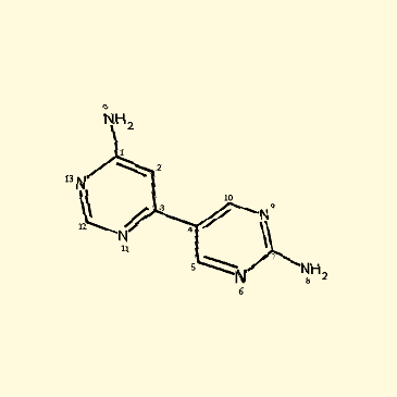 Nc1cc(-c2cnc(N)nc2)ncn1